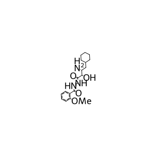 COc1ccccc1C(=O)NNC(=O)C(O)[C@H](N)CC1CCCCC1